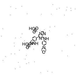 CS(=O)(=O)O.CS(=O)(=O)O.c1cn2cc(-c3ccc4cn[nH]c4c3)nc(Nc3ccc(N4CCOCC4)cc3)c2n1